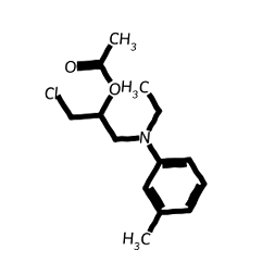 CCN(CC(CCl)OC(C)=O)c1cccc(C)c1